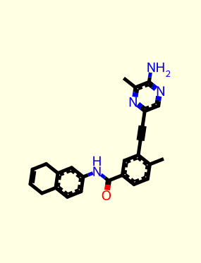 Cc1ccc(C(=O)Nc2ccc3c(c2)CC=CC3)cc1C#Cc1cnc(N)c(C)n1